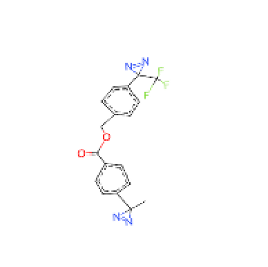 CC1(c2ccc(C(=O)OCc3ccc(C4(C(F)(F)F)N=N4)cc3)cc2)N=N1